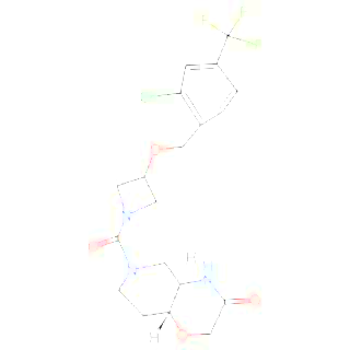 O=C1CO[C@@H]2CCN(C(=O)N3CC(OCc4ccc(C(F)(F)F)cc4Cl)C3)C[C@H]2N1